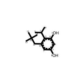 CC(C)c1c(O)cc(O)cc1CC(C)(C)C